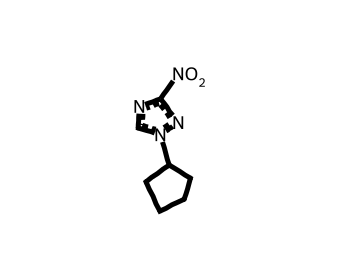 O=[N+]([O-])c1ncn(C2CCCC2)n1